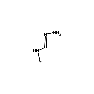 NN=CN[S]